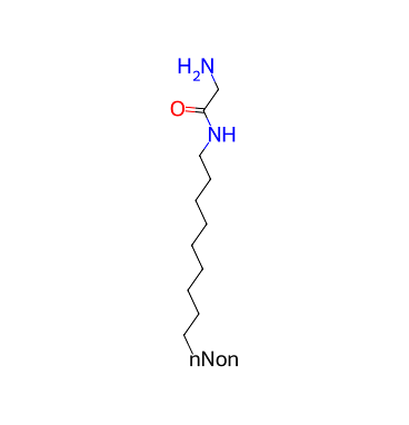 CCCCCCCCCCCCCCCCCCNC(=O)CN